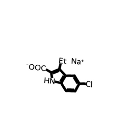 CCc1c(C(=O)[O-])[nH]c2ccc(Cl)cc12.[Na+]